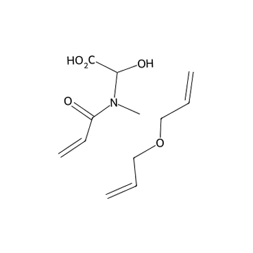 C=CC(=O)N(C)C(O)C(=O)O.C=CCOCC=C